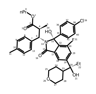 CCCOC(=O)[C@@H](C)[C@@H](c1ccc(C)cc1)N1C(=O)c2cc([C@](O)(CC)C3CCOCC3)cc(F)c2[C@]1(O)c1ccc(Cl)cc1